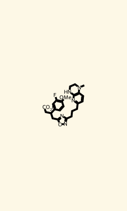 COc1ccc(C(CC(=O)O)Cc2nc(CCCc3ccc4c(n3)NCCN4C)no2)cc1F